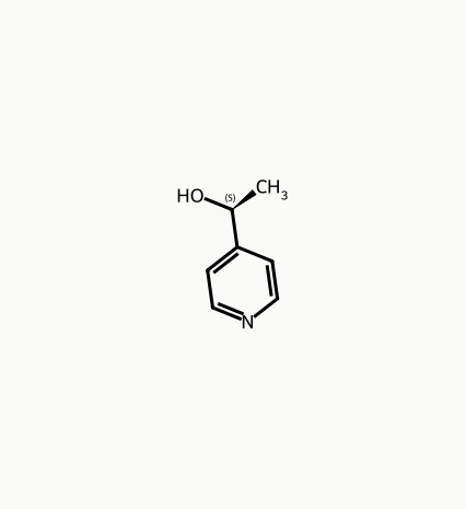 C[C@H](O)c1ccncc1